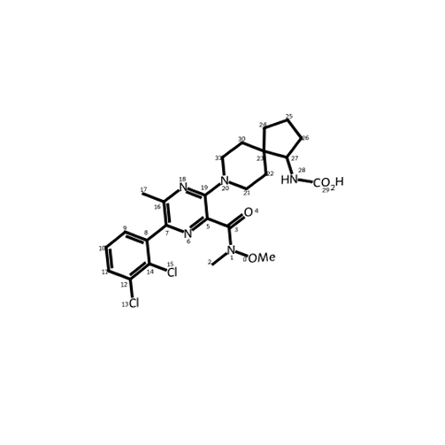 CON(C)C(=O)c1nc(-c2cccc(Cl)c2Cl)c(C)nc1N1CCC2(CCCC2NC(=O)O)CC1